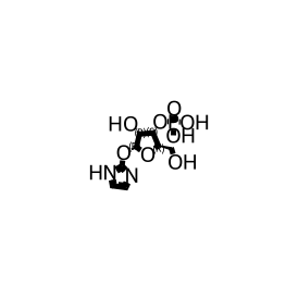 O=P(O)(O)O[C@H]1[C@@H](O)[C@@H](Oc2ncc[nH]2)O[C@@H]1CO